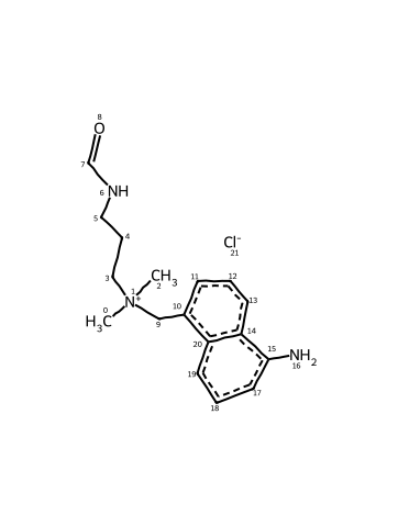 C[N+](C)(CCCNC=O)Cc1cccc2c(N)cccc12.[Cl-]